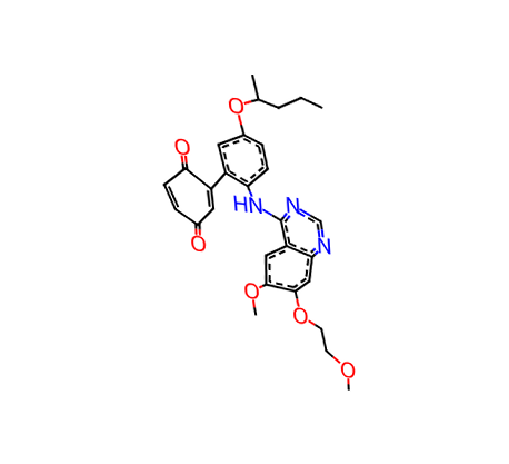 CCCC(C)Oc1ccc(Nc2ncnc3cc(OCCOC)c(OC)cc23)c(C2=CC(=O)C=CC2=O)c1